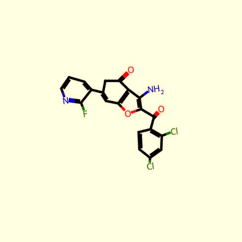 Nc1c(C(=O)c2ccc(Cl)cc2Cl)oc2c1C(=O)CC(c1cccnc1F)=C2